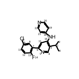 CC(C)c1cnc(-c2cc(Cl)ccc2F)cc1Nc1[c]cncc1